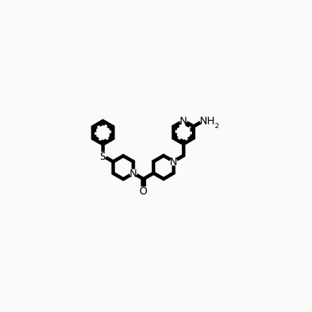 Nc1cc(CN2CCC(C(=O)N3CCC(Sc4ccccc4)CC3)CC2)ccn1